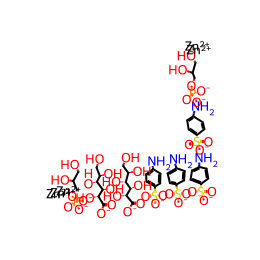 Nc1ccc(S(=O)(=O)[O-])cc1.Nc1ccc(S(=O)(=O)[O-])cc1.Nc1ccc(S(=O)(=O)[O-])cc1.Nc1ccc(S(=O)(=O)[O-])cc1.O=C([O-])[C@H](O)[C@@H](O)[C@H](O)[C@H](O)CO.O=C([O-])[C@H](O)[C@@H](O)[C@H](O)[C@H](O)CO.O=P([O-])([O-])OCC(O)CO.O=P([O-])([O-])OCC(O)CO.[Zn+2].[Zn+2].[Zn+2].[Zn+2].[Zn+2]